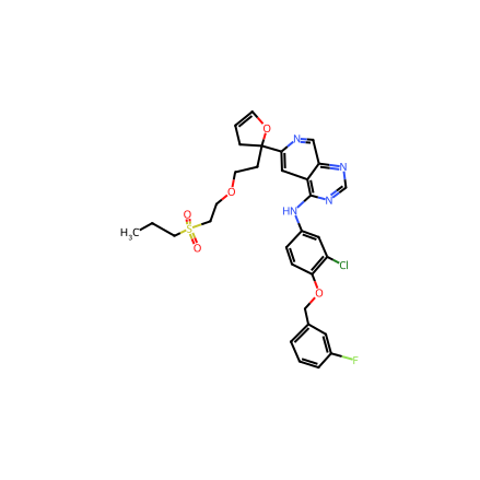 CCCS(=O)(=O)CCOCCC1(c2cc3c(Nc4ccc(OCc5cccc(F)c5)c(Cl)c4)ncnc3cn2)CC=CO1